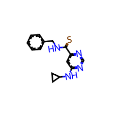 S=C(NCc1ccccc1)c1cc(NC2CC2)ncn1